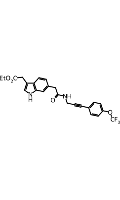 CCOC(=O)Cc1c[nH]c2cc(CC(=O)NCC#Cc3ccc(OC(F)(F)F)cc3)ccc12